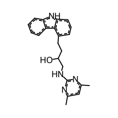 Cc1cc(C)nc(NCC(O)CCc2cccc3[nH]c4ccccc4c23)n1